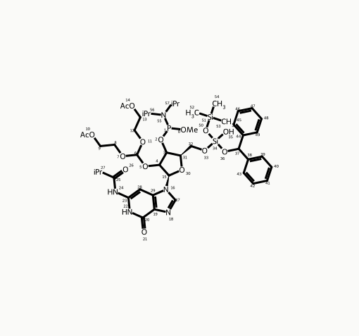 COP(OC1C(OC(OCCOC(C)=O)OCCOC(C)=O)[C@H](n2cnc3c(=O)[nH]c(NC(=O)C(C)C)cc32)O[C@@H]1CO[Si](O)(OC(c1ccccc1)c1ccccc1)O[Si](C)(C)C)N(C(C)C)C(C)C